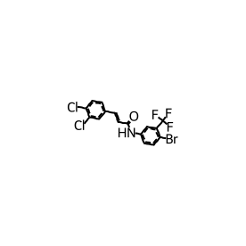 O=C(C=Cc1ccc(Cl)c(Cl)c1)Nc1ccc(Br)c(C(F)(F)F)c1